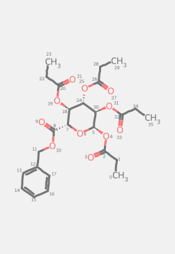 CCC(=O)O[C@H]1O[C@H](C(=O)OCc2ccccc2)[C@@H](OC(=O)CC)[C@H](OC(=O)CC)[C@H]1OC(=O)CC